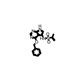 C=C(C)S(=O)(=O)Nc1c[nH]c2ncnc(OCc3ccccc3)c12